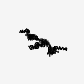 COC(=O)CC[C@@H](C)C(C)C1(C)CCC2[C@@H](CC[C@@H]3C[C@H](OCC#Cc4ccc5c6ccc(C#CCO[C@@H]7CCC8(C)C(CC[C@@H]9C8CCC8(C)C([C@H](C)CCC(=O)OC)CC[C@@H]98)C7)cc6n(CCNC(=O)OC(C)(C)C)c5c4)CCC23C)C1